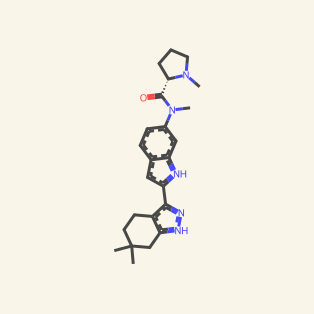 CN(C(=O)[C@@H]1CCCN1C)c1ccc2cc(-c3n[nH]c4c3CCC(C)(C)C4)[nH]c2c1